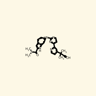 C#CC(C)(C)c1ccnc(-c2ccnc(Nc3ccc4cc(C(=O)N(C)C)[nH]c4c3)n2)c1